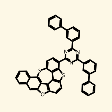 c1ccc(-c2cccc(-c3nc(-c4cccc(-c5ccccc5)c4)nc(-c4ccc5sc6c7ccccc7cc7oc8ccc9sc4c5c9c8c76)n3)c2)cc1